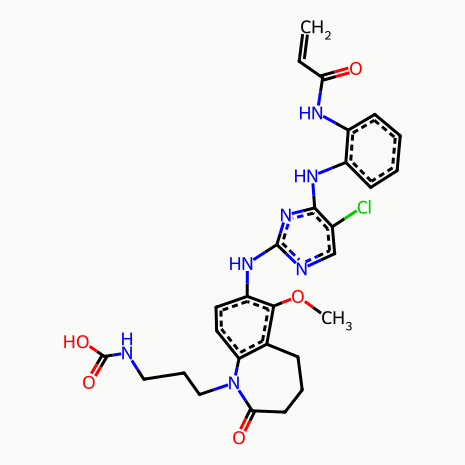 C=CC(=O)Nc1ccccc1Nc1nc(Nc2ccc3c(c2OC)CCCC(=O)N3CCCNC(=O)O)ncc1Cl